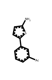 CC(=O)c1cccc(-c2ccc(N)s2)c1